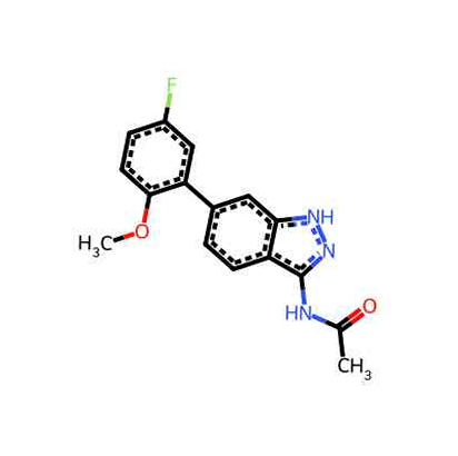 COc1ccc(F)cc1-c1ccc2c(NC(C)=O)n[nH]c2c1